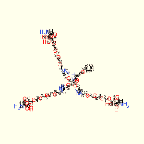 N[C@H]1[C@H]2OC[C@@](COCCOCCOCCOCCn3cc(COCC(COCc4cn(CCOCCOCCOCCOC[C@]56CO[C@@H](O5)[C@H](N)[C@@H](O)[C@H]6O)nn4)(COCc4cn(CCOCCOCCOCCOC[C@]56CO[C@@H](O5)[C@H](N)[C@@H](O)[C@H]6O)nn4)NC(=O)CCCOCc4ccccc4)nn3)(O2)[C@H](O)[C@@H]1O